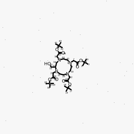 CC(C)(C)OC(=O)CN1CCN(CC(=O)OC(C)(C)C)CCN(CC(=O)OC(C)(C)C)C(CO)CN(CC(=O)OC(C)(C)C)CC1